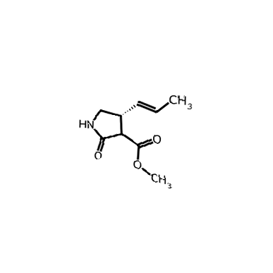 C/C=C/[C@H]1CNC(=O)C1C(=O)OC